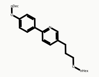 CCCCCCCCCCOc1ccc(-c2ccc(CCCOCCCCCC)cn2)cc1